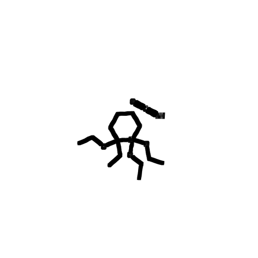 CCOC1(CC)CCCC[Si]1(OCC)OCC.N=C=O